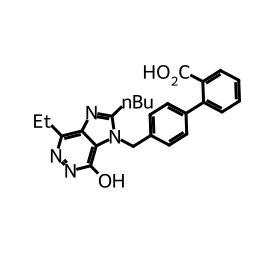 CCCCc1nc2c(CC)nnc(O)c2n1Cc1ccc(-c2ccccc2C(=O)O)cc1